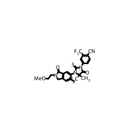 COCCN1Cc2cc(F)c(N3C(=S)N(c4ccc(C#N)c(C(F)(F)F)c4)C(=O)C3(C)C)cc2C1=O